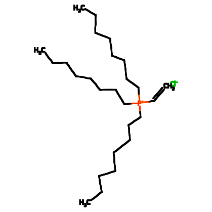 C=C[P+](CCCCCCCC)(CCCCCCCC)CCCCCCCC.[Cl-]